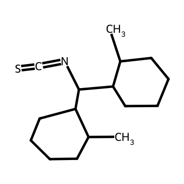 CC1CCCCC1C(N=C=S)C1CCCCC1C